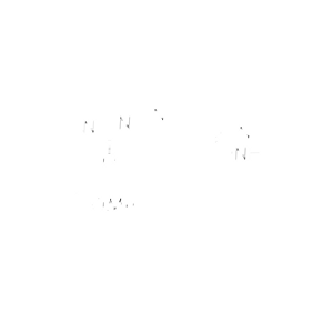 COc1cccc(CN2CCN(c3ccc(-c4cn[nH]c4)cn3)C2=O)c1